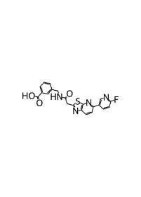 O=C(Cc1nc2ccc(-c3ccc(F)nc3)nc2s1)NCc1cccc(C(=O)O)c1